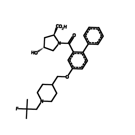 CC(C)(F)CN1CCC(COc2ccc(-c3ccccc3)c(C(=O)N3C[C@H](O)C[C@H]3C(=O)O)c2)CC1